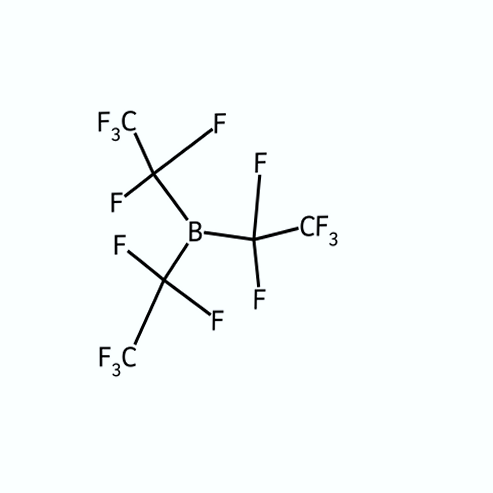 FC(F)(F)C(F)(F)B(C(F)(F)C(F)(F)F)C(F)(F)C(F)(F)F